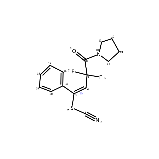 N#CS/C(=C/C(F)(F)C(=O)N1CCCC1)c1ccccc1